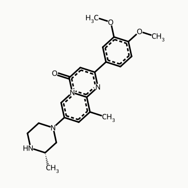 COc1ccc(-c2cc(=O)n3cc(N4CCN[C@@H](C)C4)cc(C)c3n2)cc1OC